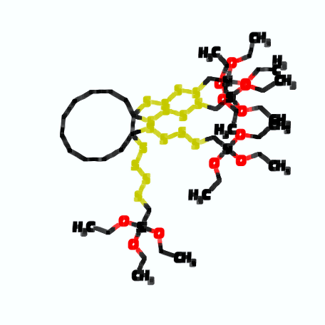 CCO[Si](CSSSSC1(SSSSC[Si](OCC)(OCC)OCC)CCCCCCCCCCC1(SSSSC[Si](OCC)(OCC)OCC)SSSSC[Si](OCC)(OCC)OCC)(OCC)OCC